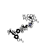 Cc1ccc(-c2cc(C(F)(F)F)nn2-c2ccc(S(=O)(=O)NC(=O)C3CN(/[N+]([O-])=N/OC(C)OC(=O)C(C)(C)C)C3)cc2)cc1